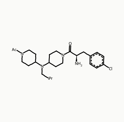 CC(=O)N1CCC(N(CC(C)C)C2CCN(C(=O)[C@H](N)Cc3ccc(Cl)cc3)CC2)CC1